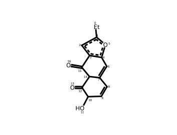 CCc1cc2c(o1)C=C1C=CC(O)C(=O)C1C2=O